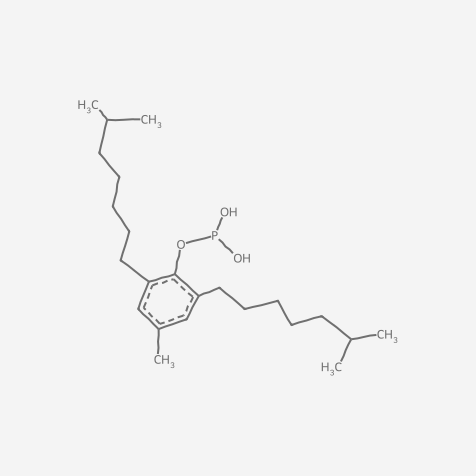 Cc1cc(CCCCCC(C)C)c(OP(O)O)c(CCCCCC(C)C)c1